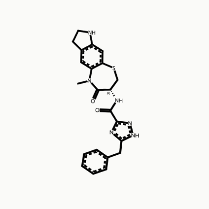 CN1C(=O)[C@@H](NC(=O)c2n[nH]c(Cc3ccccc3)n2)CSc2cc3c(cc21)CCN3